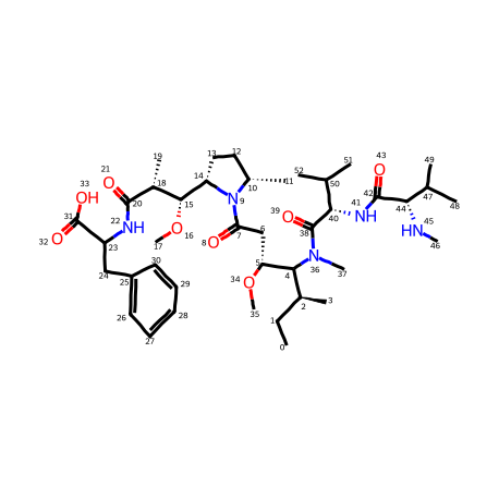 CC[C@H](C)C([C@@H](CC(=O)N1[C@@H](C)CC[C@H]1[C@H](OC)[C@@H](C)C(=O)NC(Cc1ccccc1)C(=O)O)OC)N(C)C(=O)[C@@H](NC(=O)[C@@H](NC)C(C)C)C(C)C